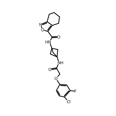 O=C(COc1ccc(Cl)c(F)c1)NC12CC(NC(=O)c3onc4c3CCCC4)(C1)C2